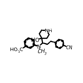 CN(c1cccc(C(=O)O)c1)C(CCc1ccc(C#N)cc1)C1(O)CCNCC1